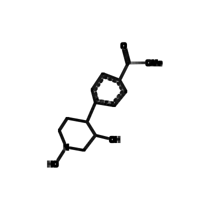 COC(=O)c1ccc(C2CCN(O)CC2O)cc1